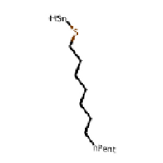 CCCCCCCCCCCC[S][SnH]